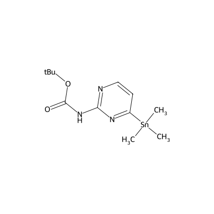 CC(C)(C)OC(=O)Nc1ncc[c]([Sn]([CH3])([CH3])[CH3])n1